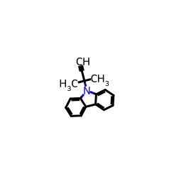 C#CC(C)(C)n1c2ccccc2c2ccccc21